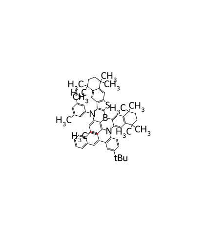 Cc1cc(C)cc(N2c3cc(C)cc4c3B(c3cc5c(cc3N4c3ccc(C(C)(C)C)cc3-c3ccc4ccccc4c3)C(C)(C)CCC5(C)C)c3sc4cc5c(cc4c32)C(C)(C)CCC5(C)C)c1